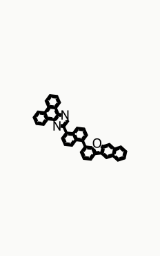 c1ccc2cc3c(cc2c1)oc1c(-c2cccc4c(-c5cnc6c7ccccc7c7ccccc7c6n5)cccc24)cccc13